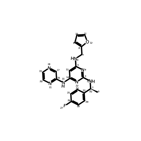 C[C@H](Nc1nc(NCc2ccco2)cc(Nc2cnccn2)n1)c1ccc(F)cc1